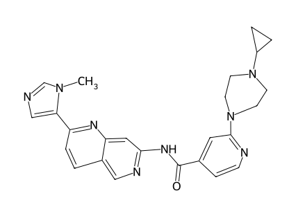 Cn1cncc1-c1ccc2cnc(NC(=O)c3ccnc(N4CCN(C5CC5)CC4)c3)cc2n1